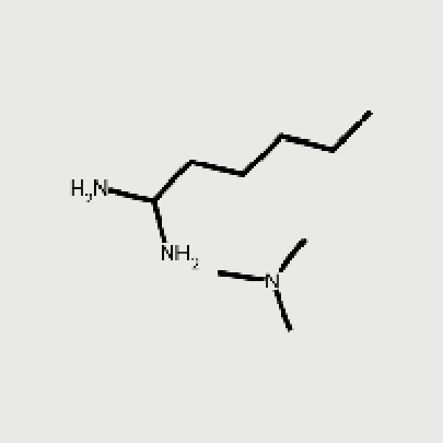 CCCCCC(N)N.CN(C)C